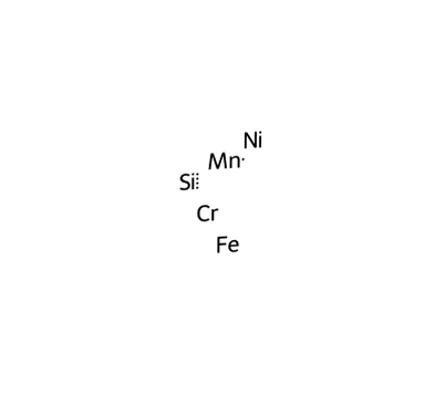 [Cr].[Fe].[Mn].[Ni].[Si]